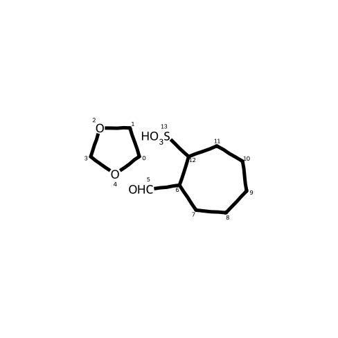 C1COCO1.O=CC1CCCCCC1S(=O)(=O)O